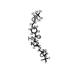 CC(C)(C)c1cnc(CSc2cnc(NC(=O)C3CCN(CCO[Si](C)(C)C(C)(C)C)CC3)s2)o1